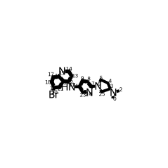 CN(C)C1CCN(c2ccc(Nc3[c]cnc4ccc(Br)cc34)cn2)C1